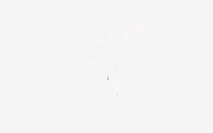 CC(=O)OCC1=C(C(=O)OCC(C)C)N2C(=O)[C@H](C(C)O[Si](C)(C)C(C)(C)C)[C@H]2[C@H]1C